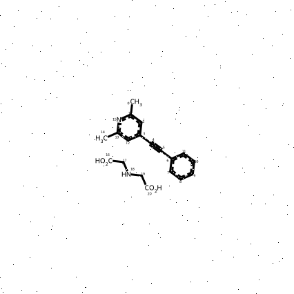 Cc1cc(C#Cc2ccccc2)cc(C)n1.O=C(O)CNCC(=O)O